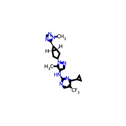 Cc1c(Nc2ncc(C(F)(F)F)c(C3CC3)n2)cnn1[C@@H]1C[C@@H]2[C@H](C1)[C@@H]2c1ncnn1C